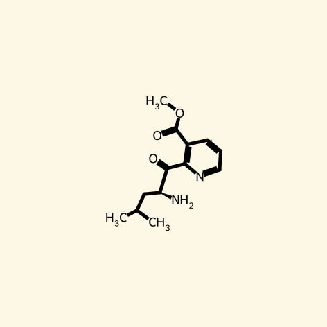 COC(=O)c1[c]ccnc1C(=O)[C@@H](N)CC(C)C